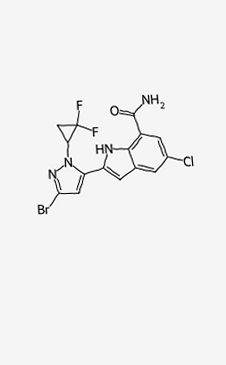 NC(=O)c1cc(Cl)cc2cc(-c3cc(Br)nn3C3CC3(F)F)[nH]c12